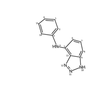 c1ccc(Nc2cccc3[nH]nnc23)cc1